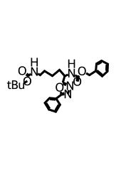 CC(C)(C)OC(=O)NCCCCC(NC(=O)OCc1ccccc1)c1nnc(-c2ccccc2)o1